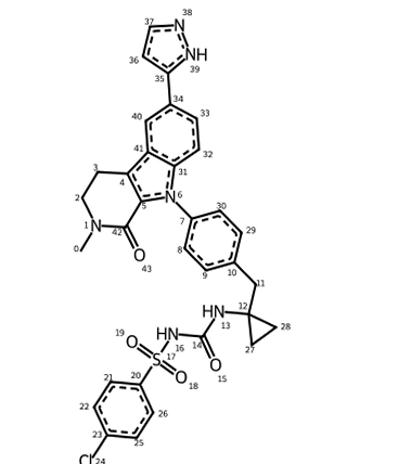 CN1CCc2c(n(-c3ccc(CC4(NC(=O)NS(=O)(=O)c5ccc(Cl)cc5)CC4)cc3)c3ccc(-c4ccn[nH]4)cc23)C1=O